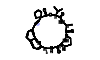 CC(C)[C@@H]1OC(=O)C2(/C=C/c3ccc4ccc(nc4c3)[C@@H](C)NC(=O)[C@@H]3CCCN(N3)C(=O)[C@H](C)NC1=O)CCCC2